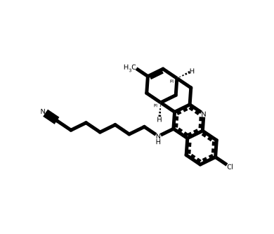 CC1=C[C@H]2Cc3nc4cc(Cl)ccc4c(NCCCCCCC#N)c3[C@@H](C1)C2